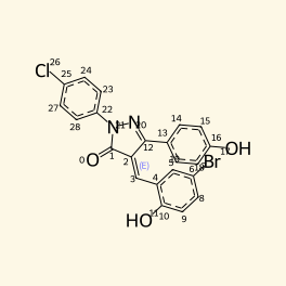 O=C1/C(=C/c2cc(Br)ccc2O)C(c2ccc(O)cc2)=NN1c1ccc(Cl)cc1